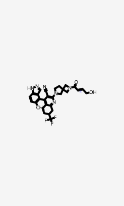 Cc1ccc2[nH]ncc2c1-c1c(C#N)c(N2CCC3(CN(C(=O)/C=C/CO)C3)C2)nc2c1CCC(C(F)(F)F)C2